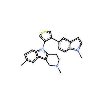 Cc1ccc2c(c1)c1c(n2-c2cscc2-c2ccc3c(ccn3C)c2)CCN(C)C1